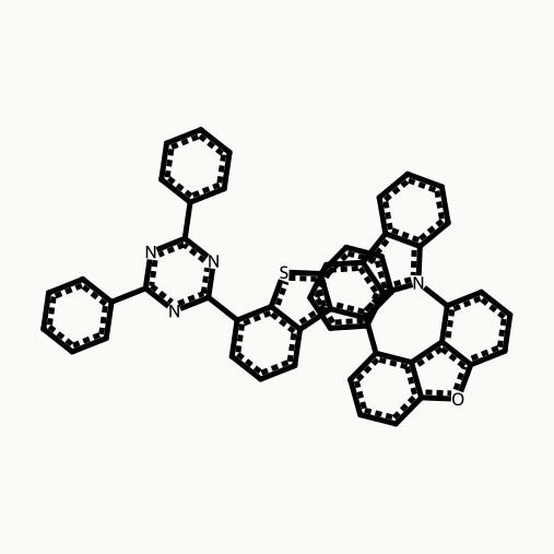 c1ccc(-c2nc(-c3ccccc3)nc(-c3cccc4c3sc3cccc(-c5cccc6oc7cccc(-n8c9ccccc9c9ccccc98)c7c56)c34)n2)cc1